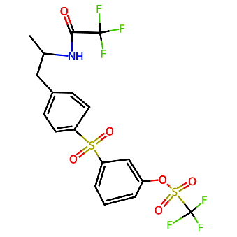 CC(Cc1ccc(S(=O)(=O)c2cccc(OS(=O)(=O)C(F)(F)F)c2)cc1)NC(=O)C(F)(F)F